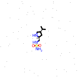 CC(C)[C@@H]1CN[C@H](CNS(N)(=O)=O)C1